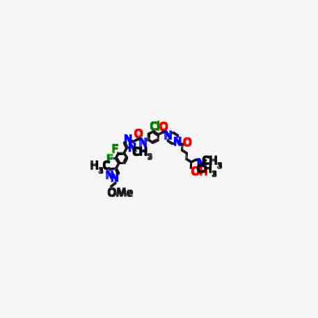 COCCn1cc(-c2ccc(-c3cnc(C(=O)Nc4ccc(C(=O)N5CCN(C(=O)CCCC(CO)CN(C)C)CC5)c(Cl)c4)n3C)c(F)c2F)c(C)n1